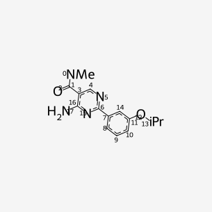 CNC(=O)c1cnc(-c2cccc(OC(C)C)c2)nc1N